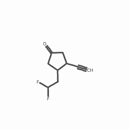 C#CC1CC(=O)CC1CC(F)F